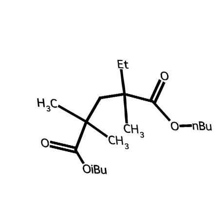 CCCCOC(=O)C(C)(CC)CC(C)(C)C(=O)OCC(C)C